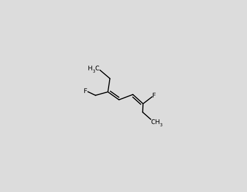 CC/C(F)=C\C=C(/CC)CF